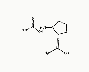 NC(O)=S.NC(O)=S.NN1CCCC1